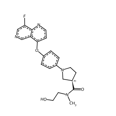 CN(CCO)C(=O)[C@@H]1CCN(c2ccc(Oc3ccnc4c(F)cncc34)cc2)C1